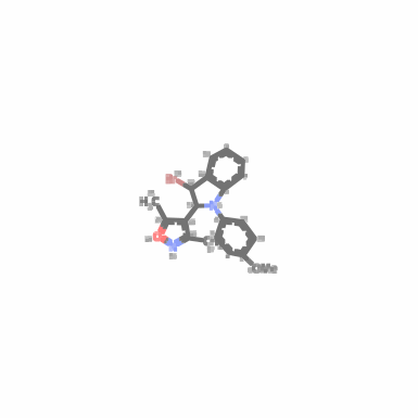 COc1ccc(N2c3ccccc3C(Br)C2c2c(C)noc2C)cc1